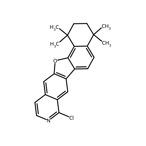 CC1(C)CCC(C)(C)c2c1ccc1c2oc2cc3ccnc(Cl)c3cc21